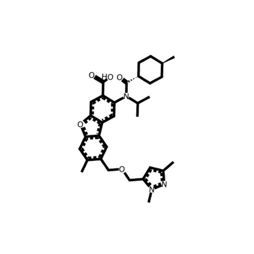 Cc1cc(COCc2cc3c(cc2C)oc2cc(C(=O)O)c(N(C(=O)[C@H]4CC[C@H](C)CC4)C(C)C)cc23)n(C)n1